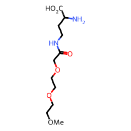 COCCOCCOCC(=O)NCCC(N)C(=O)O